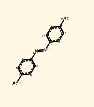 CC(=O)c1ccc(N=Nc2ccc(C(C)=O)cc2)cc1